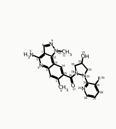 Cc1cc2nc(N)c3cnn(C)c3c2cc1C(=O)N1CC(O)CN1c1ncccc1F